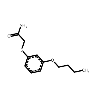 CCCCOc1cccc(SCC(N)=O)c1